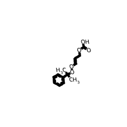 CC(C)(OOC=CCOC(=O)O)c1ccccc1